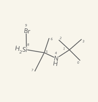 CC(C)(C)NC(C)(C)[SiH2]Br